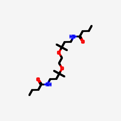 CCCC(=O)NCCC(C)(C)OCCOC(C)(C)CCNC(=O)CCC